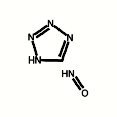 N=O.c1nnn[nH]1